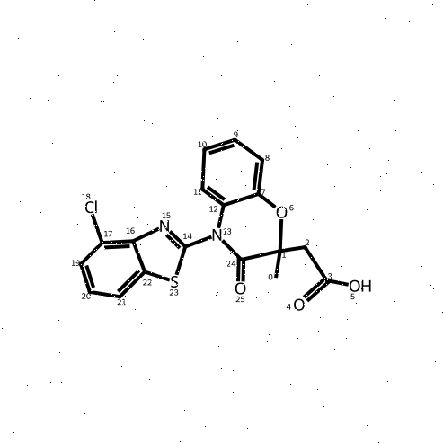 CC1(CC(=O)O)Oc2ccccc2N(c2nc3c(Cl)cccc3s2)C1=O